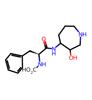 O=C(O)N[C@@H](Cc1ccccc1)C(=O)NC1CCCNCC1O